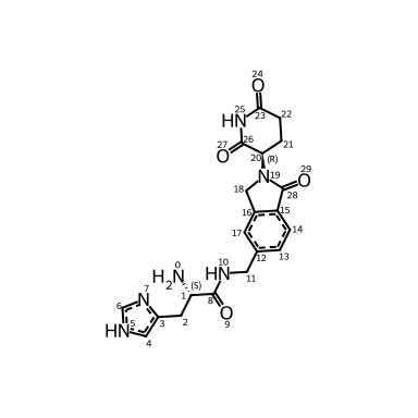 N[C@@H](Cc1c[nH]cn1)C(=O)NCc1ccc2c(c1)CN([C@@H]1CCC(=O)NC1=O)C2=O